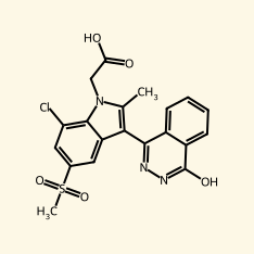 Cc1c(-c2nnc(O)c3ccccc23)c2cc(S(C)(=O)=O)cc(Cl)c2n1CC(=O)O